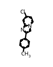 Cc1ccc(-c2cn3ccc(Cl)cc3n2)cc1